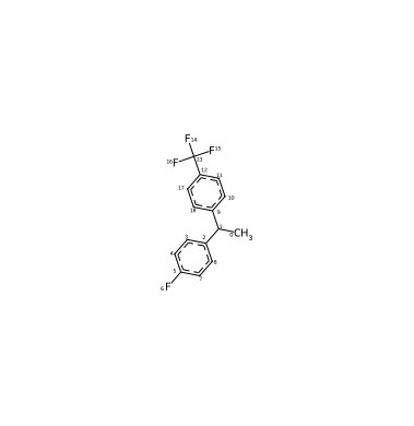 CC(c1ccc(F)cc1)c1ccc(C(F)(F)F)cc1